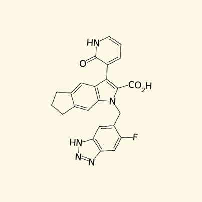 O=C(O)c1c(-c2ccc[nH]c2=O)c2cc3c(cc2n1Cc1cc2[nH]nnc2cc1F)CCC3